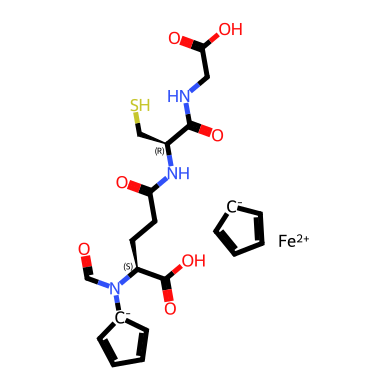 O=CN([c-]1cccc1)[C@@H](CCC(=O)N[C@@H](CS)C(=O)NCC(=O)O)C(=O)O.[Fe+2].c1cc[cH-]c1